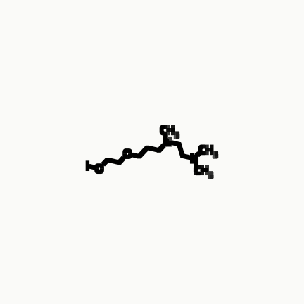 CN(C)CCN(C)CCCOCCOI